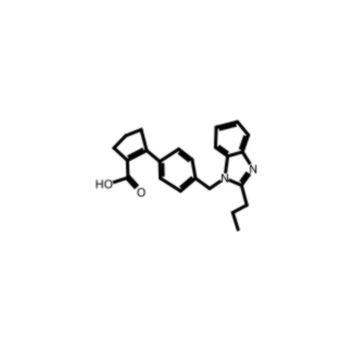 CCCc1nc2ccccc2n1Cc1ccc(C2=C(C(=O)O)CCC2)cc1